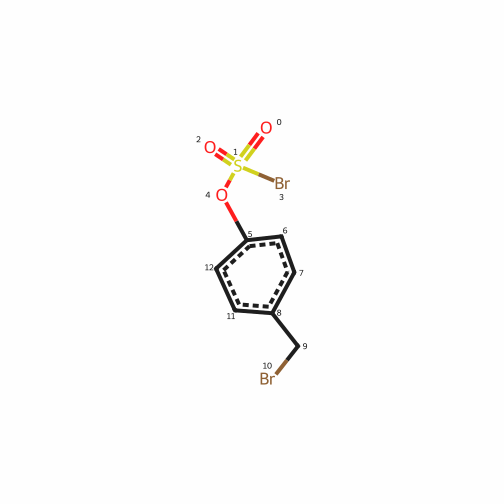 O=S(=O)(Br)Oc1ccc(CBr)cc1